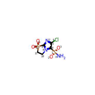 NS(=O)(=O)c1c(Cl)nc2n1CCS2(=O)=O